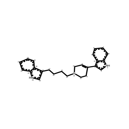 C1=C(c2c[nH]c3ccccc23)CCN(CCCCc2c[nH]c3ccccc23)C1